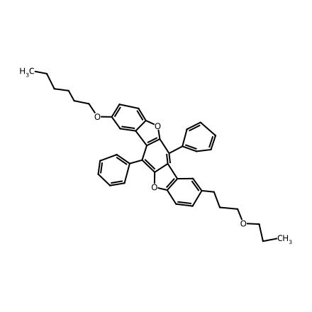 CCCCCCOc1ccc2oc3c(-c4ccccc4)c4c(oc5ccc(CCCOCCC)cc54)c(-c4ccccc4)c3c2c1